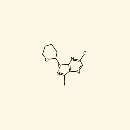 Clc1cnc2c(I)nn(C3CCCCO3)c2n1